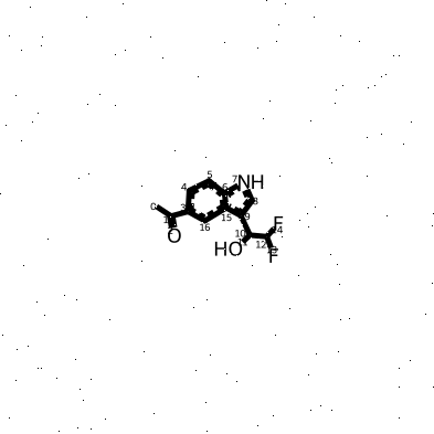 CC(=O)c1ccc2[nH]cc(C(O)C(F)F)c2c1